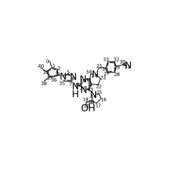 Cc1cc(-n2cnc(Nc3nc4c(c(N5CCC[C@H]5CO)n3)CCN(Cc3ccc(C#N)cc3)C4)c2)cc(C)c1C